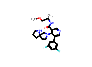 C[C@H](COC(F)(F)F)NC(=O)c1cncc(-c2cc(F)cc(F)c2)c1N1CCC2(CCCN2)C1